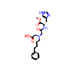 COC(=O)[C@H](Cc1c[nH]cn1)NC(=O)CN(CCCCc1ccccc1)CC(=O)O